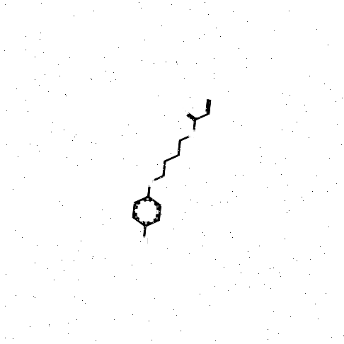 C=CC(=O)OCCCCOc1ccc(Cl)cc1